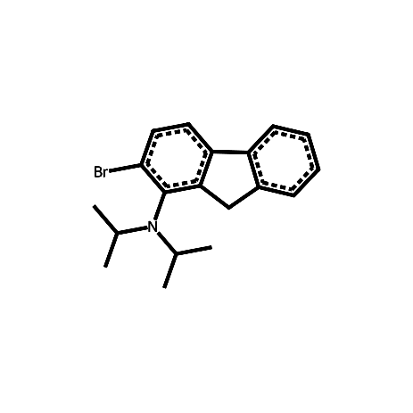 CC(C)N(c1c(Br)ccc2c1Cc1ccccc1-2)C(C)C